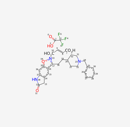 O=C(O)C(F)(F)F.O=C(O)C=CC(=O)O.O=C1Cc2cc3c(CCC4CCN(Cc5ccccc5)CC4)noc3cc2N1